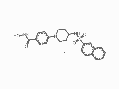 O=C(NO)c1ccc(N2CCC(NS(=O)(=O)c3ccc4ccccc4c3)CC2)cc1